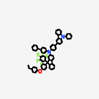 C=Cc1ccc(Oc2ccc(C3(c4c(F)c(F)c(F)c(F)c4F)c4ccccc4-c4ccc(N(c5ccc(-c6ccccc6)cc5)c5ccc(-c6ccc7c(c6)c6ccccc6n7-c6ccccc6)cc5)cc43)cc2)cc1